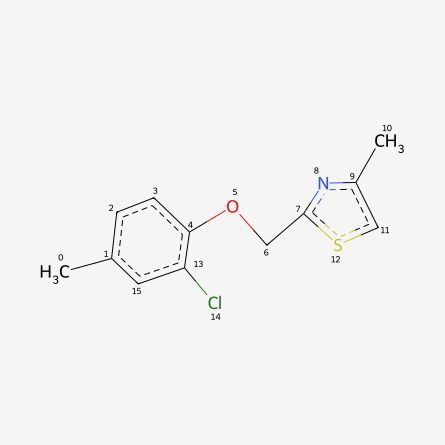 Cc1ccc(OCc2nc(C)cs2)c(Cl)c1